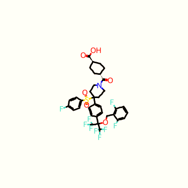 O=C(O)[C@H]1CC[C@H](C(=O)N2CCC(c3ccc(C(OCc4c(F)cccc4F)(C(F)(F)F)C(F)(F)F)cc3)(S(=O)(=O)c3ccc(F)cc3)CC2)CC1